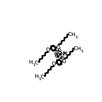 CCCCCCCCOc1ccc(OCCCCCCCC)c(S(=O)(=O)C(=[N+]=[N-])S(=O)(=O)c2cc(OCCCCCCCC)ccc2OCCCCCCCC)c1